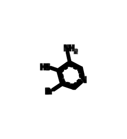 Nc1cncc(Br)c1S